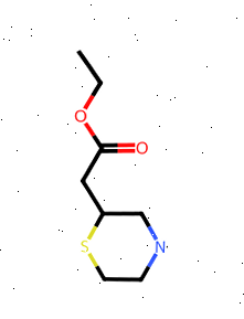 CCOC(=O)CC1C[N]CCS1